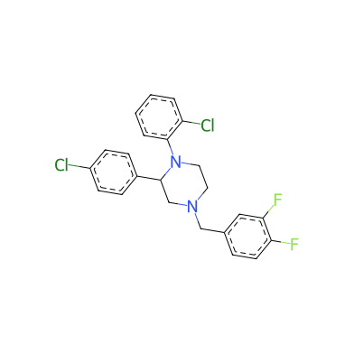 Fc1ccc(CN2CCN(c3ccccc3Cl)C(c3ccc(Cl)cc3)C2)cc1F